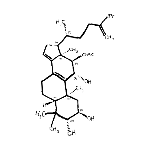 C=C(CC[C@@H](C)[C@H]1CC=C2C3=C([C@@H](O)[C@H](OC(C)=O)[C@@]21C)[C@@]1(C)C[C@@H](O)[C@H](O)C(C)(C)[C@@H]1CC3)C(C)C